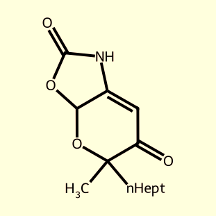 CCCCCCCC1(C)OC2OC(=O)NC2=CC1=O